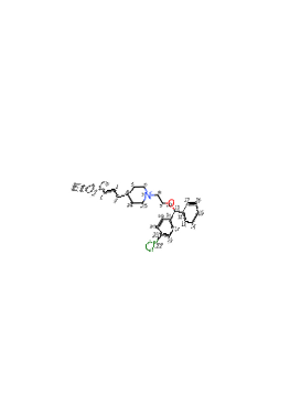 CCOC(=O)C=CCC1CCN(CCOC(c2ccccc2)c2ccc(Cl)cc2)CC1